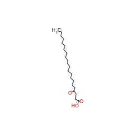 CCCCCCCCCCCCCCCCCCC(=O)CCC(=O)O